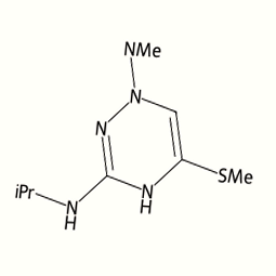 CNN1C=C(SC)NC(NC(C)C)=N1